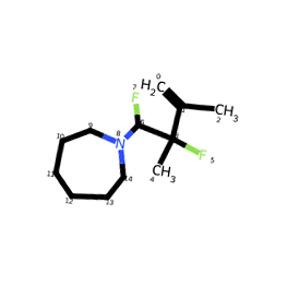 C=C(C)C(C)(F)C(F)N1CCCCCC1